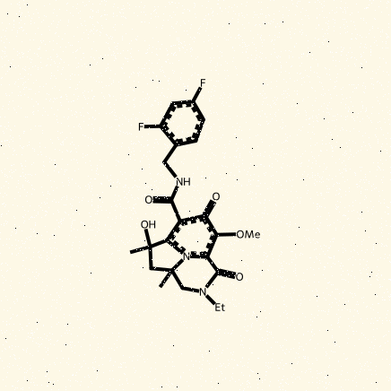 CCN1CC2(C)CC(C)(O)c3c(C(=O)NCc4ccc(F)cc4F)c(=O)c(OC)c(n32)C1=O